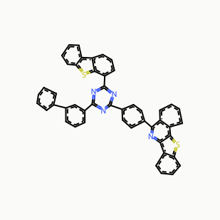 c1ccc(-c2cccc(-c3nc(-c4ccc(-c5nc6c7ccccc7sc6c6ccccc56)cc4)nc(-c4cccc5c4sc4ccccc45)n3)c2)cc1